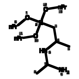 CCCO[Si](CC(C)NC(C)N)(OCCC)OCCC